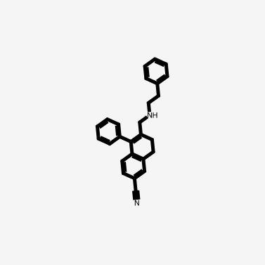 N#Cc1ccc2c(c1)CCC(CNCCc1ccccc1)=C2c1ccccc1